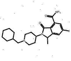 CC1c2cc(F)cc(C(N)=O)c2C(=O)N1C1CCN(CC2CCCCC2)CC1